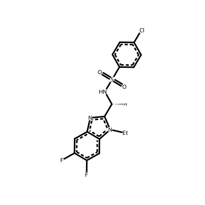 CCn1c([C@@H](C)NS(=O)(=O)c2ccc(Cl)cc2)nc2cc(F)c(F)cc21